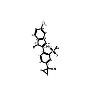 CCS(=N)(=O)c1cc(C2(C#N)CC2)ccc1-c1nc2cc(C(F)(F)F)ccc2n1C